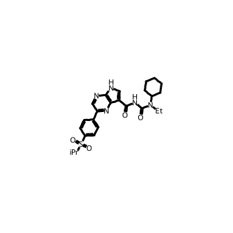 CCN(C(=O)NC(=O)c1c[nH]c2ncc(-c3ccc(S(=O)(=O)C(C)C)cc3)nc12)C1CCCCC1